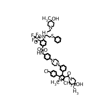 Cc1c(C(=O)N2CCC(C)(O)CC2)c(-c2cccc(N3CCN(c4ccc(NS(=O)(=O)c5ccc(N[C@H](CCN6CCC(C)(O)CC6)CSc6ccccc6)c(S(=O)(=O)C(F)(F)F)c5)cc4)CC3)c2)c(-c2ccc(Cl)cc2)n1C